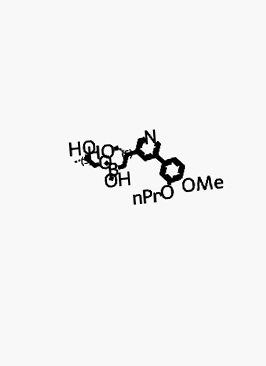 CCCOc1cc(-c2cncc([C@@H](CO)CB(O)OC[C@H](C)O)c2)ccc1OC